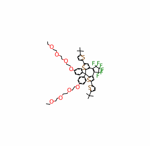 CCOCCOCCOCCOc1ccc(C2(c3ccc(OCCOCCOCCOCC)cc3)c3sc(-c4ccc(C(C)(C)C)s4)cc3C3=C(c4cc(-c5ccc(C(C)(C)C)s5)sc42)C(F)(F)C(F)(F)C3(F)F)cc1